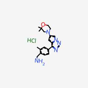 Cc1cc(-c2ncnn3cc(N4CCOC(C)(C)C4)cc23)ccc1CN.Cl